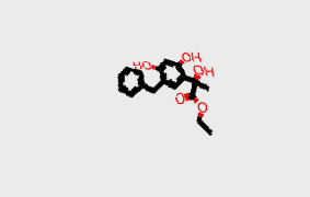 CCOC(=O)C(C)(O)c1cc(Cc2ccccc2)c(O)cc1O